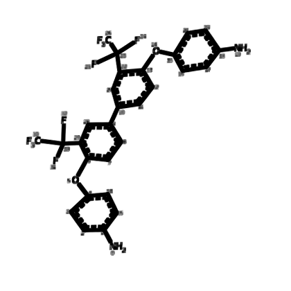 Nc1ccc(Oc2ccc(-c3ccc(Oc4ccc(N)cc4)c(C(F)(F)C(F)(F)F)c3)cc2C(F)(F)C(F)(F)F)cc1